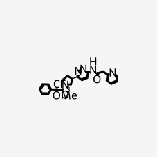 COC(C(=O)N1CC[C@@H](c2ccc(NC(=O)Cc3ccccn3)nn2)C1)(c1ccccc1)C(F)(F)F